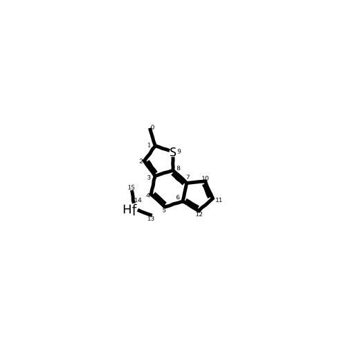 CC1C=c2ccc3c(c2S1)C=CC=3.[CH3][Hf][CH3]